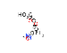 O=C(O)CC1COc2cc(O[C@@H]3CCc4c3ccc(C(F)(F)F)c4-c3ccc(-c4noc(C5CC5)n4)cc3)ccc21